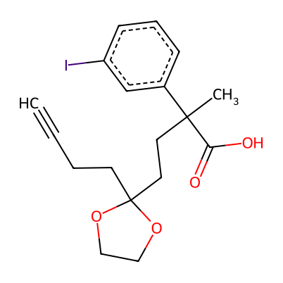 C#CCCC1(CCC(C)(C(=O)O)c2cccc(I)c2)OCCO1